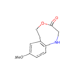 COc1ccc2c(c1)[CH]OC(=O)CN2